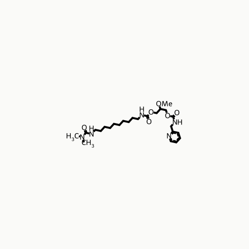 COC(COC(=O)NCCCCCCCCCCNC(=O)N(C)C)COC(=O)NCc1ccccn1